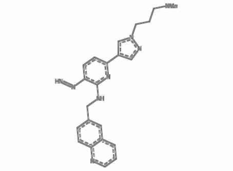 CNCCCn1cc(-c2ccc(N=N)c(NCc3ccc4ncccc4c3)n2)cn1